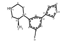 C[C@H]1CNCCN1c1cc(F)cc(-c2ccsc2)c1